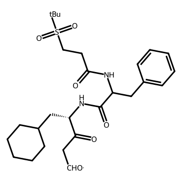 CC(C)(C)S(=O)(=O)CCC(=O)NC(Cc1ccccc1)C(=O)N[C@@H](CC1CCCCC1)C(=O)C[C]=O